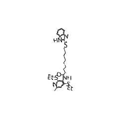 CCSc1cc(C)nc(SCC)c1NC(=O)CCCCCCCCSc1nc2ccccc2[nH]1